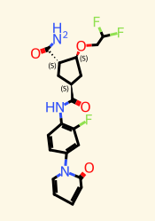 NC(=O)[C@H]1C[C@H](C(=O)Nc2ccc(-n3ccccc3=O)cc2F)C[C@@H]1OCC(F)F